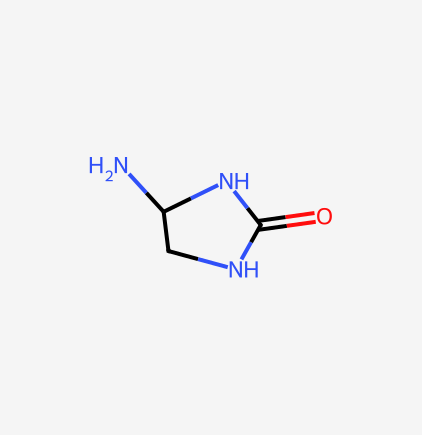 NC1CNC(=O)N1